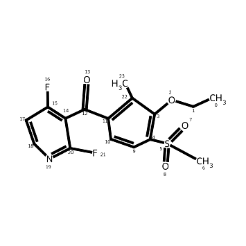 CCOc1c(S(C)(=O)=O)ccc(C(=O)c2c(F)ccnc2F)c1C